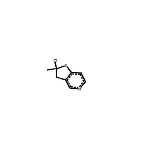 CC1(Cl)Cc2cnccc2S1